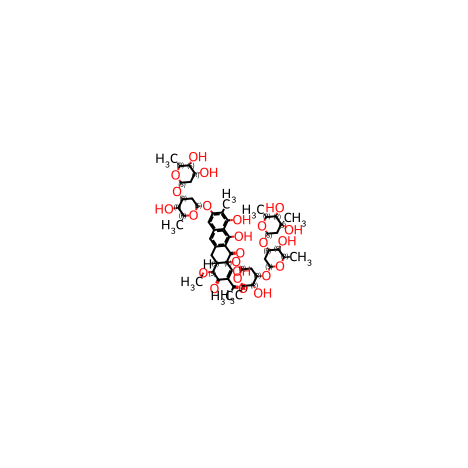 CO[C@@H]1C(=O)C(C(C)=O)=C(O)[C@@]2(O[C@H]3C[C@@H](O[C@H]4C[C@@H](O[C@H]5C[C@](C)(O)[C@H](O)[C@@H](C)O5)[C@@H](O)[C@@H](C)O4)[C@H](O)[C@@H](C)O3)C(=O)c3c(cc4cc(O[C@H]5C[C@@H](O[C@H]6C[C@@H](O)[C@H](O)[C@@H](C)O6)[C@H](O)[C@@H](C)O5)c(C)c(O)c4c3O)C[C@@H]12